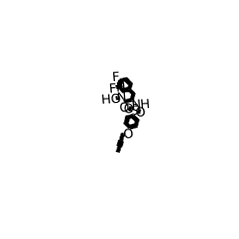 CC#CCOc1ccc(S(=O)(=O)NC(Cc2ccc(F)c(F)c2)C(=O)NO)cc1